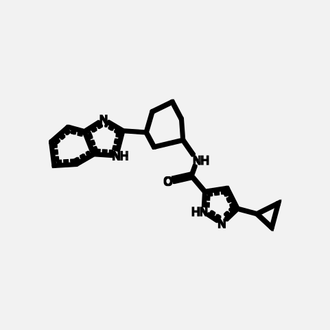 O=C(NC1CCCC(c2nc3ccccc3[nH]2)C1)c1cc(C2CC2)n[nH]1